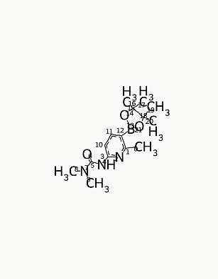 Cc1nc(NC(=O)N(C)C)ccc1B1OC(C)(C)C(C)(C)O1